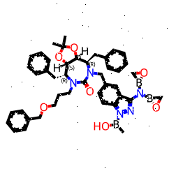 CB(O)n1nc(N(B2CO2)B2CO2)c2cc(CN3C(=O)N(CCCOCc4ccccc4)[C@H](Cc4ccccc4)[C@@H]4OC(C)(C)O[C@H]4[C@H]3Cc3ccccc3)ccc21